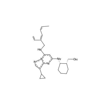 C=C/C(=C\C=C/C)CNc1cc(N[C@H]2CCCC[C@H]2CO)nc2c(C3CC3)cnn12